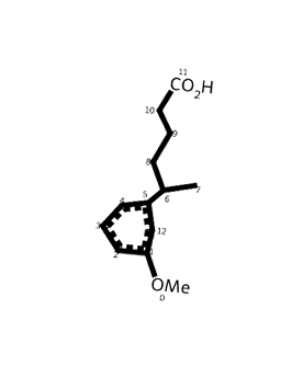 COc1cccc(C(C)CCCC(=O)O)c1